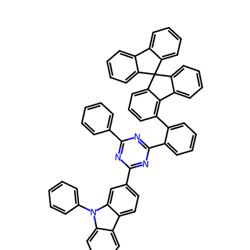 c1ccc(-c2nc(-c3ccc4c5ccccc5n(-c5ccccc5)c4c3)nc(-c3ccccc3-c3cccc4c3-c3ccccc3C43c4ccccc4-c4ccccc43)n2)cc1